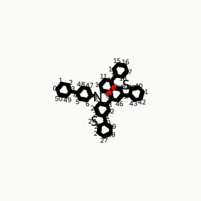 c1ccc(-c2ccc(N(c3ccc(-c4ccccc4)cc3)c3cc4sc5ccccc5c4cc3-c3ccc4sc5ccccc5c4c3)cc2)cc1